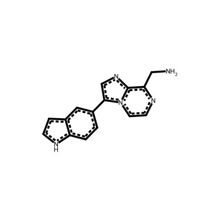 NCc1nccn2c(-c3ccc4[nH]ccc4c3)cnc12